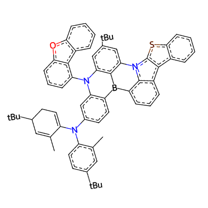 CC1=CC(C(C)(C)C)CC=C1N(c1ccc2c(c1)N(c1cccc3oc4ccccc4c13)c1cc(C(C)(C)C)cc3c1B2c1cccc2c4c5ccccc5sc4n-3c12)c1ccc(C(C)(C)C)cc1C